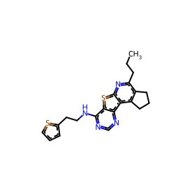 CCCc1nc2sc3c(NCCc4cccs4)ncnc3c2c2c1CCC2